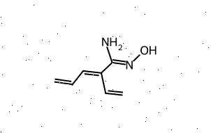 C=C/C=C(C=C)/C(N)=N/O